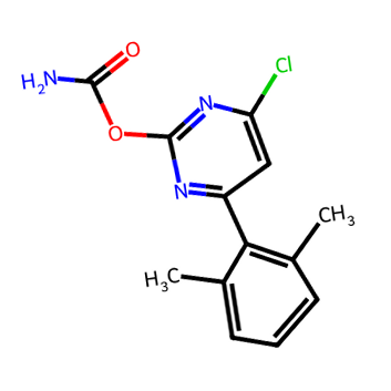 Cc1cccc(C)c1-c1cc(Cl)nc(OC(N)=O)n1